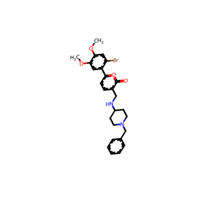 COc1cc(Br)c(-c2ccc(CNC3CCN(Cc4ccccc4)CC3)c(=O)o2)cc1OC